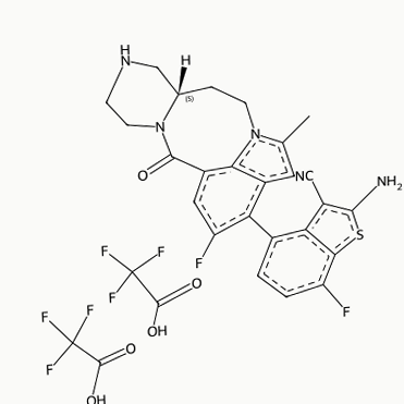 Cc1cc2c(-c3ccc(F)c4sc(N)c(C#N)c34)c(F)cc3c2n1CC[C@H]1CNCCN1C3=O.O=C(O)C(F)(F)F.O=C(O)C(F)(F)F